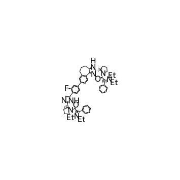 CCN(CC)[C@@H](C(=O)N1CCC[C@H]1c1ncc(-c2ccc(-c3ccc4c(c3)CCCc3[nH]c([C@@H]5CCCN5C(=O)[C@@H](c5ccccc5)N(CC)CC)nc3-4)cc2F)[nH]1)c1ccccc1